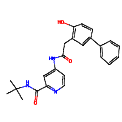 CC(C)(C)NC(=O)c1cc(NC(=O)Cc2cc(-c3ccccc3)ccc2O)ccn1